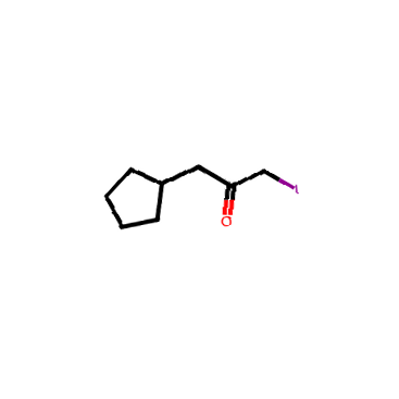 O=C(CI)CC1CCCC1